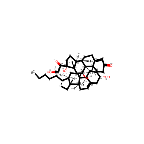 CC(C)CCC[C@@H](C)[C@H]1CC[C@H]2[C@@H]3CC=C4C[C@@H](O)CC([C@]56[C@@H](O)C[C@@]7(C)[C@@H](CC[C@]7(O)C(=O)CO)[C@@H]5CCC5=CC(=O)CC[C@@]56C)[C@]4(C)[C@H]3CC[C@]12C